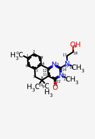 Cc1ccc2c(c1)CC(C)(C)c1c-2nc(N(C)CCO)n(C)c1=O